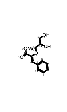 COC(=O)C(=Cc1ccccc1)OCC(O)CO